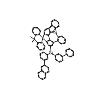 CC1(C)c2ccccc2C2(c3ccccc31)c1cc(N(c3cccc(-c4ccccc4)c3)c3cccc(-c4ccc5ccccc5c4)c3)cc3c1-c1c2ccc2c4ccccc4n(c12)-c1ccccc1-3